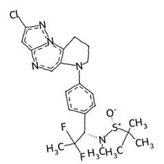 CN([C@@H](c1ccc(N2CCCc3c2cnc2cc(Cl)nn32)cc1)C(C)(F)F)[S@+]([O-])C(C)(C)C